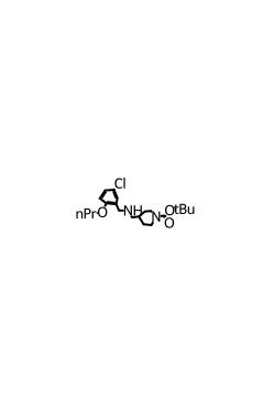 CCCOc1ccc(Cl)cc1CNCC1CCN(C(=O)OC(C)(C)C)CC1